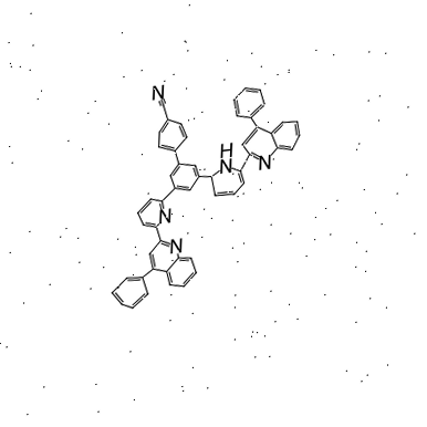 N#Cc1ccc(-c2cc(-c3cccc(-c4cc(-c5ccccc5)c5ccccc5n4)n3)cc(C3C=CC=C(c4cc(-c5ccccc5)c5ccccc5n4)N3)c2)cc1